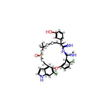 CN/C1=N\C(=N)C(C)(c2cccc(O)c2)CCCC(C)(C)C[S+]([O-])CCc2c(c(F)cc3[nH]ccc23)Oc2ccc(F)c1c2